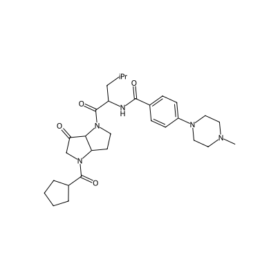 CC(C)CC(NC(=O)c1ccc(N2CCN(C)CC2)cc1)C(=O)N1CCC2C1C(=O)CN2C(=O)C1CCCC1